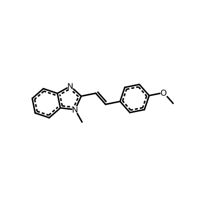 COc1ccc(C=Cc2nc3ccccc3n2C)cc1